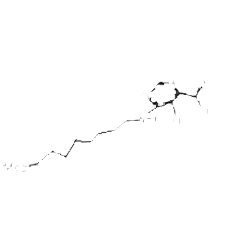 CSCCCCCCCCNc1ncnc(C(C)Cl)c1Cl